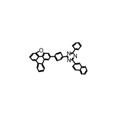 c1ccc(-c2nc(-c3ccc(-c4cc5oc6cccc7c8ccccc8c(c4)c5c67)cc3)nc(-c3ccc4ccccc4c3)n2)cc1